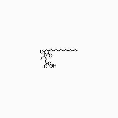 CCCCCCCCCCCCC1CC(=O)N(C(CC)CCC(=O)OO)C1=O